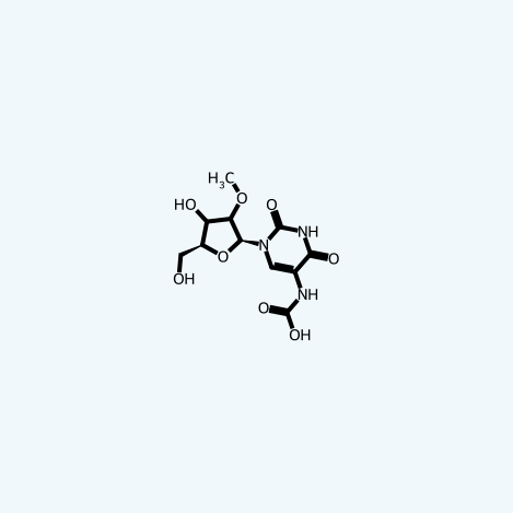 COC1C(O)[C@H](CO)O[C@@H]1n1cc(NC(=O)O)c(=O)[nH]c1=O